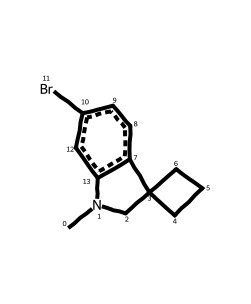 CN1CC2(CCC2)c2ccc(Br)cc21